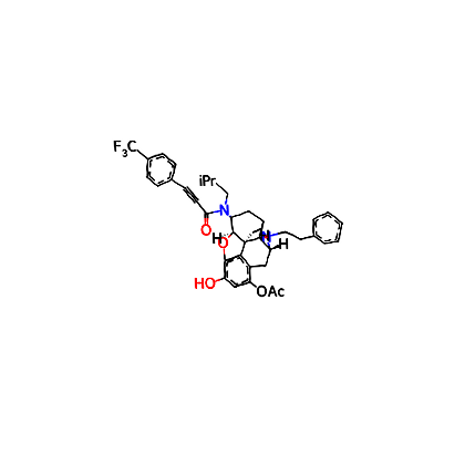 CC(=O)Oc1cc(O)c2c3c1C[C@@H]1[C@@H]4CC[C@@H](N(CC(C)C)C(=O)C#Cc5ccc(C(F)(F)F)cc5)[C@H](O2)[C@]34CCN1CCc1ccccc1